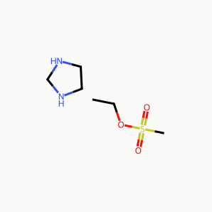 C1CNCN1.CCOS(C)(=O)=O